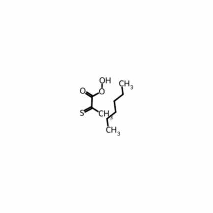 CC(=S)C(=O)OO.CCCCCC